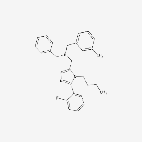 CCCCn1c(CN(Cc2ccccc2)Cc2cccc(C)c2)cnc1-c1ccccc1F